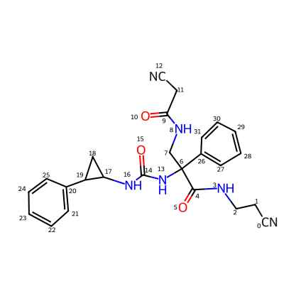 N#CCCNC(=O)C(CNC(=O)CC#N)(NC(=O)NC1CC1c1ccccc1)c1ccccc1